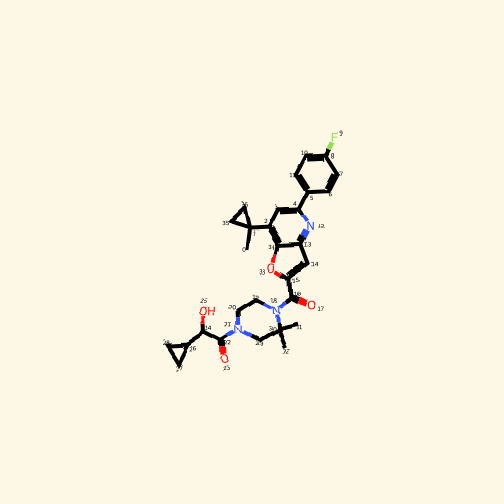 CC1(c2cc(-c3ccc(F)cc3)nc3cc(C(=O)N4CCN(C(=O)C(O)C5CC5)CC4(C)C)oc23)CC1